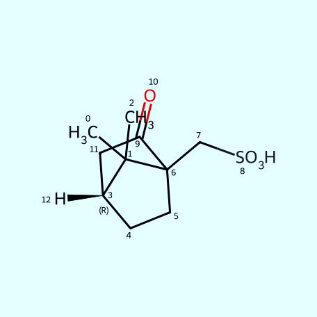 CC1(C)[C@@H]2CCC1(CS(=O)(=O)O)C(=O)C2